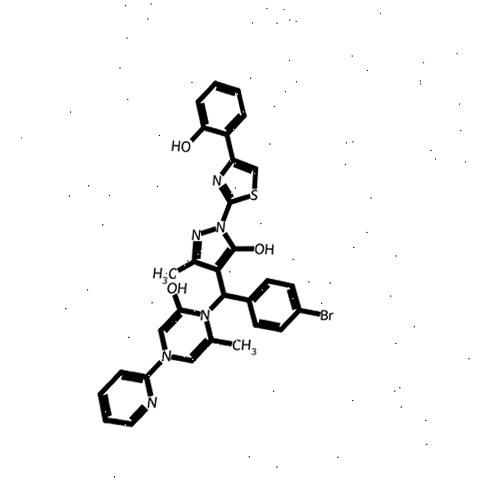 CC1=CN(c2ccccn2)C=C(O)N1C(c1ccc(Br)cc1)c1c(C)nn(-c2nc(-c3ccccc3O)cs2)c1O